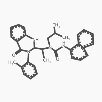 Cc1ccccc1N1C(=O)c2ccccc2NC1C(C)N(CC(C)C)C(=O)Nc1cccc2ccccc12